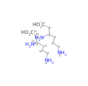 NCCCC(N)CC(=O)O.NCCC[C@@H](N)CC(=O)O